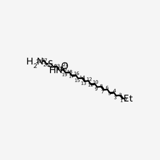 CCC=CCC=CCC=CCC=CCC=CCC=CCCC(=O)NCCSCCN